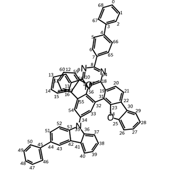 c1ccc(-c2ccc(-c3nc(-c4ccccc4)nc(-c4ccc5c(oc6ccccc65)c4-c4cc(-n5c6ccccc6c6cc(-c7ccccc7)ccc65)cc5c4oc4ccccc45)n3)cc2)cc1